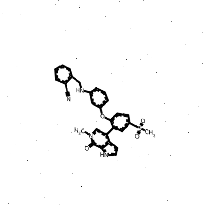 Cn1cc(-c2cc(S(C)(=O)=O)ccc2Oc2cccc(NCc3ccccc3C#N)c2)c2cc[nH]c2c1=O